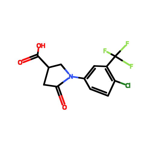 O=C(O)C1CC(=O)N(c2ccc(Cl)c(C(F)(F)F)c2)C1